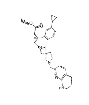 COC(=O)C[C@H](CN1CC2(CCN(Cc3ccc4c(n3)NCCC4)C2)C1)c1cccc(C2CC2)c1